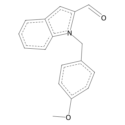 COc1ccc(Cn2c(C=O)cc3ccccc32)cc1